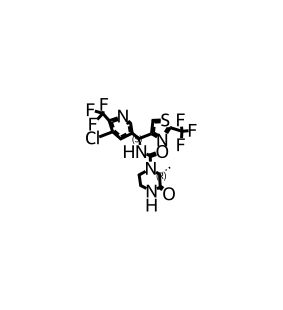 C[C@@H]1C(=O)NCCN1C(=O)N[C@@H](c1cnc(C(F)(F)F)c(Cl)c1)c1csc(C(F)(F)F)n1